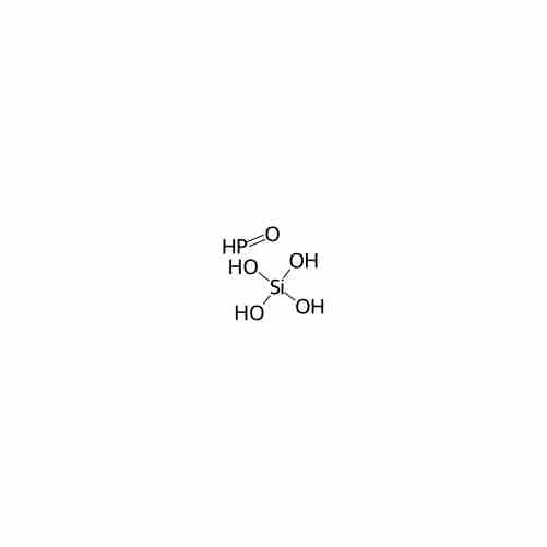 O=P.O[Si](O)(O)O